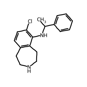 CC(Nc1c(Cl)ccc2c1CCNCC2)c1ccccc1